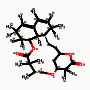 [2H]O[C@@H]1CC(CC[C@@H]2[C@@H]3C(=C([2H])[C@]([2H])(C)C([2H])([2H])C3OC(=O)C(C)(C)CC)C([2H])=C([2H])[C@]2([2H])C)OC(=O)C1([2H])[2H]